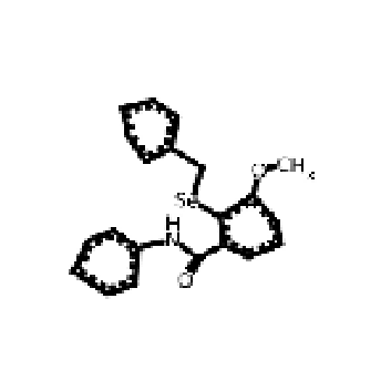 COc1cccc(C(=O)Nc2ccccc2)c1[Se]Cc1ccccc1